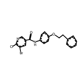 O=C(Nc1ccc(OCCc2ccccc2)cc1)c1cnc(Cl)c(Br)c1